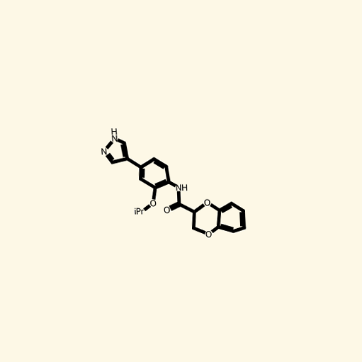 CC(C)Oc1cc(-c2cn[nH]c2)ccc1NC(=O)C1COc2ccccc2O1